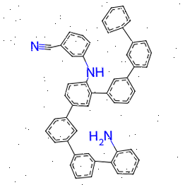 N#Cc1cccc(Nc2ccc(-c3cccc(-c4cccc(-c5ccccc5N)c4)c3)cc2-c2cccc(-c3cccc(-c4ccccc4)c3)c2)c1